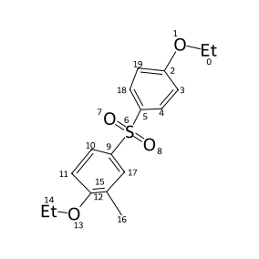 CCOc1ccc(S(=O)(=O)c2ccc(OCC)c(C)c2)cc1